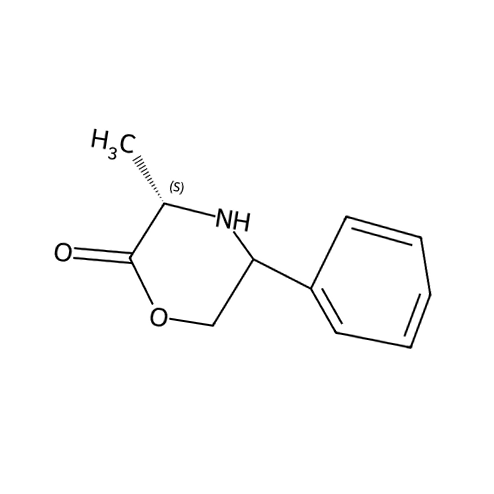 C[C@@H]1NC(c2ccccc2)COC1=O